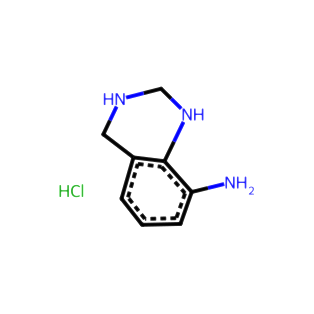 Cl.Nc1cccc2c1NCNC2